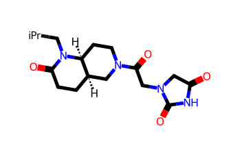 CC(C)CN1C(=O)CC[C@@H]2CN(C(=O)CN3CC(=O)NC3=O)CC[C@@H]21